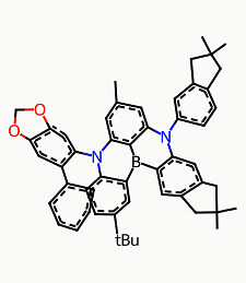 Cc1cc2c3c(c1)N(c1cc4c(cc1-c1ccccc1)OCO4)c1ccc(C(C)(C)C)cc1B3c1cc3c(cc1N2c1ccc2c(c1)CC(C)(C)C2)CC(C)(C)C3